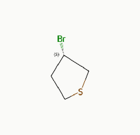 Br[C@H]1CCSC1